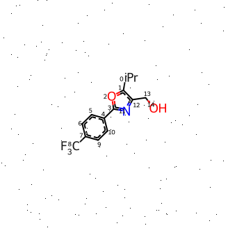 CC(C)c1oc(-c2ccc(C(F)(F)F)cc2)nc1CO